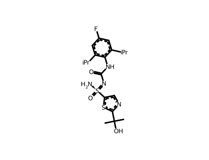 CC(C)c1cc(F)cc(C(C)C)c1NC(=O)N=[S@@](N)(=O)c1cnc(C(C)(C)O)s1